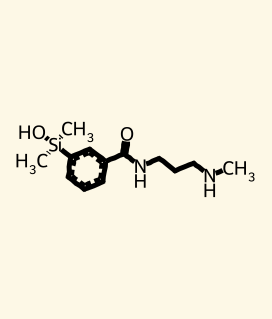 CNCCCNC(=O)c1cccc([Si](C)(C)O)c1